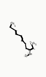 CCCCCCCC[C@H](BO)CC